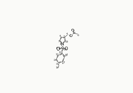 CC(=O)OCc1ccn(S(=O)(=O)c2ccc(C)cc2)c1